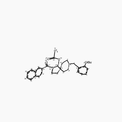 CC(C)COc1ccccc1CN1CCC2(CC1)CCN(C(=O)c1ccc3ccccc3c1)C2OC(=O)C(F)(F)F